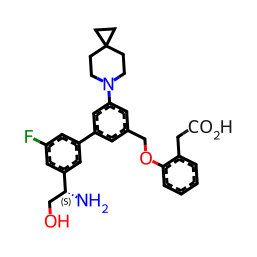 N[C@H](CO)c1cc(F)cc(-c2cc(COc3ccccc3CC(=O)O)cc(N3CCC4(CC3)CC4)c2)c1